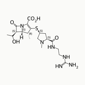 CC(O)[C@H]1C(=O)N2C(C(=O)O)=C(S[C@H]3C[C@@H](C(=O)NCCNC(=N)N)N(C)C3)[C@H](C)[C@H]12